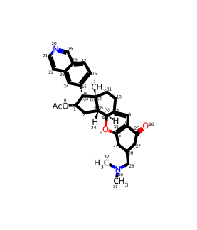 CC(=O)OC1C[C@H]2[C@@H]3OC4=C(C=C3CC[C@]2(C)[C@H]1c1ccc2cnccc2c1)C(=O)CC(CN(C)C)C4